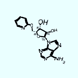 Nc1ncnc2c1ncn2[C@H]1O[C@H](COc2ccccn2)[C@H](O)[C@H]1O